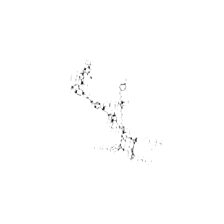 C#C[C@H]1CC(F)(F)CN1C(=O)CNC(=O)c1ccnc2ccc(OCCCN3CCN(C(=O)CCCN4C(=O)CC(SC(CCCCCNC(=O)CCCc5ccc(I)cc5)CNC(=O)CN5CCN(COC=O)CCN(COC=O)CCN(CC(=O)O)CC5)C4=O)CC3)cc12